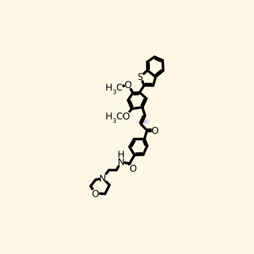 COc1cc(OC)c(-c2cc3ccccc3s2)cc1/C=C/C(=O)c1ccc(C(=O)NCCN2CCOCC2)cc1